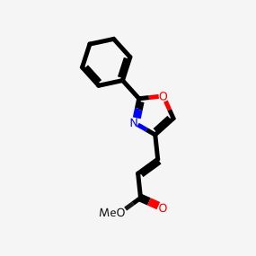 COC(=O)C=Cc1coc(C2=CCCC=C2)n1